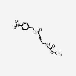 COC(=O)CNCC#CC(=O)OCc1ccc([N+](=O)[O-])cc1